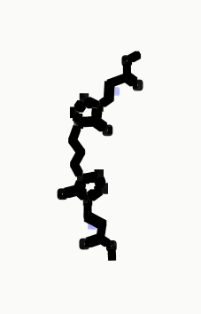 COC(=O)/C=C/n1nnn(CCCn2nnn(/C=C/C(=O)OC)c2=O)c1=O